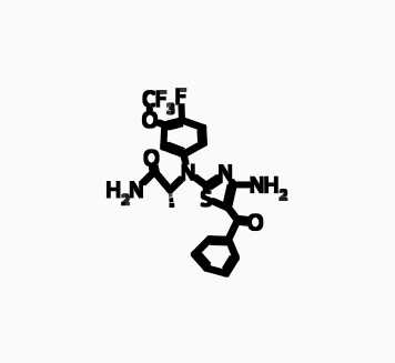 C[C@H](C(N)=O)N(c1ccc(F)c(OC(F)(F)F)c1)c1nc(N)c(C(=O)c2ccccc2)s1